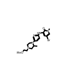 COCCN1CCN(c2ccc(Nc3cc(Br)cn(C)c3=O)nc2)C(C)C1